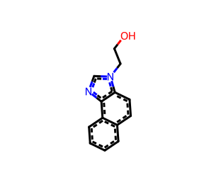 OCCn1cnc2c3ccccc3ccc21